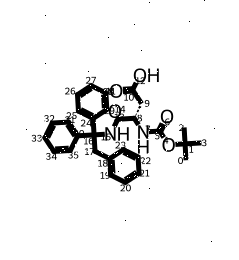 CC(C)(C)OC(=O)N[C@@H](CC(=O)O)C(=O)NC(Cc1ccccc1)(c1ccccc1)c1ccccc1